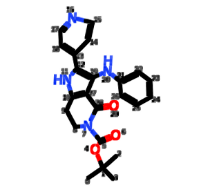 CC(C)(C)OC(=O)N1CCc2[nH]c(-c3ccncc3)c(Nc3ccccc3)c2C1=O